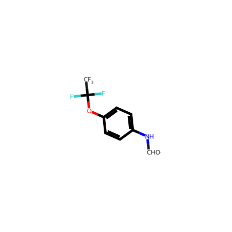 O=[C]Nc1ccc(OC(F)(F)C(F)(F)F)cc1